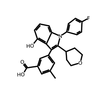 Cc1cc(C(=O)O)cc(-c2c(C3CCOCC3)n(-c3ccc(F)cc3)c3cccc(O)c23)c1